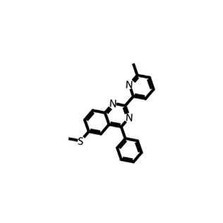 CSc1ccc2nc(-c3cccc(C)n3)nc(-c3ccccc3)c2c1